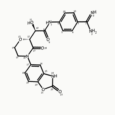 N=C(N)c1ccc(NC(=O)[C@H](O)[C@H]2OCCN(c3ccc4oc(=O)[nH]c4c3)C2=O)cc1